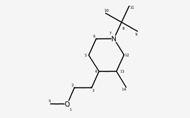 COCCC1CCN(C(C)(C)C)CC1C